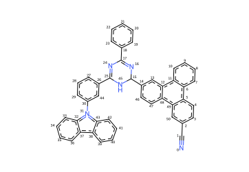 N#Cc1ccc2c3ccccc3c3cc(C4N=C(c5ccccc5)N=C(c5cccc(-n6c7ccccc7c7ccccc76)c5)N4)ccc3c2c1